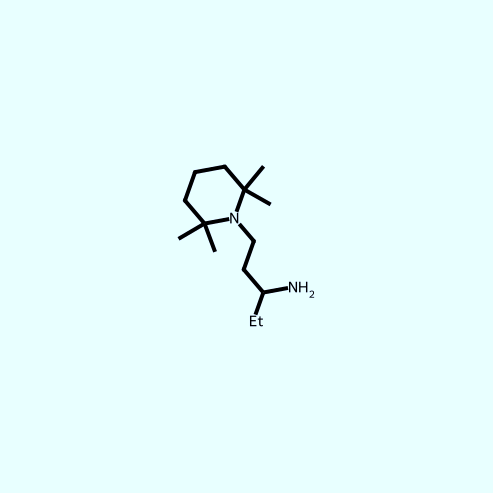 CCC(N)CCN1C(C)(C)CCCC1(C)C